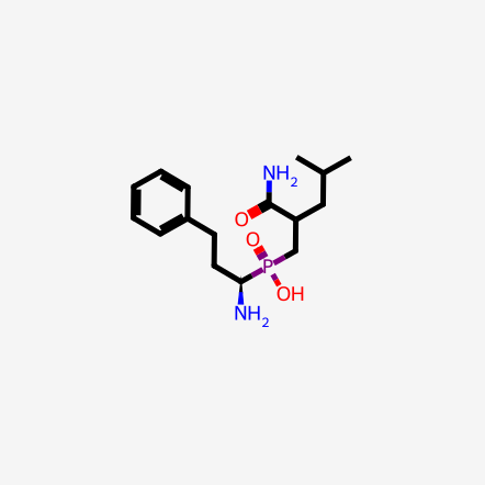 CC(C)CC(CP(=O)(O)[C@@H](N)CCc1ccccc1)C(N)=O